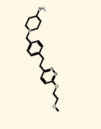 COCCOc1ccc(CCc2ccc(CN3CCC(N)CC3)cc2)nn1